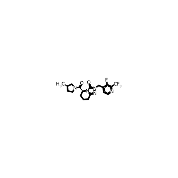 C[C@@H]1CCN(C(=O)[C@@H]2CCCc3nn(Cc4ccnc(C(F)(F)F)c4F)c(=O)n32)C1